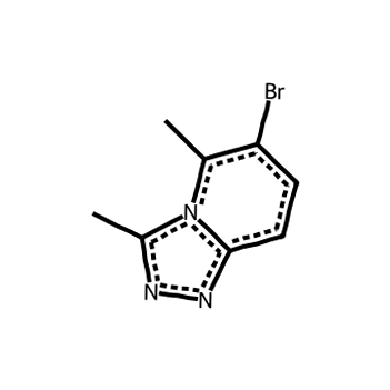 Cc1nnc2ccc(Br)c(C)n12